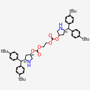 CC(C)(C)c1ccc(C(c2ccc(C(C)(C)C)cc2)[C@H]2CC(OC(=O)OCCOC(=O)O[C@H]3CN[C@@H](C(c4ccc(C(C)(C)C)cc4)c4ccc(C(C)(C)C)cc4)C3)CN2)cc1